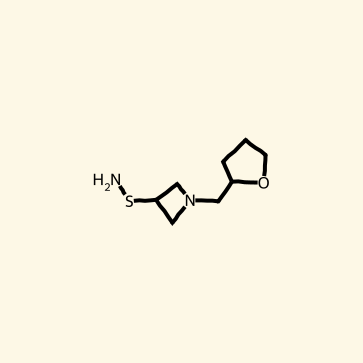 NSC1CN(CC2CCCO2)C1